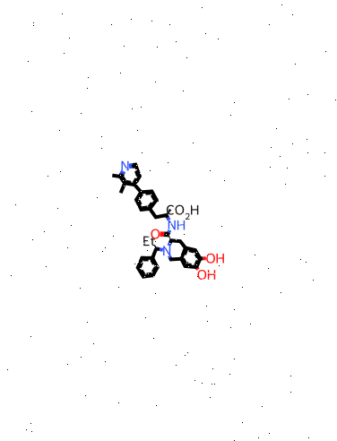 CC[C@@H](c1ccccc1)N1Cc2cc(O)c(O)cc2C[C@H]1C(=O)N[C@@H](Cc1ccc(-c2ccnc(C)c2C)cc1)C(=O)O